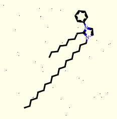 CCCCCCCCCCCCCCCCCC[n+]1ccn(-c2ccccc2)c1CCCCCCCC